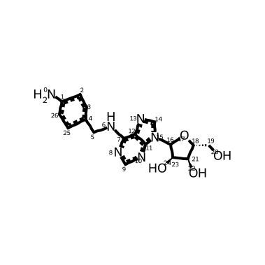 Nc1ccc(CNc2ncnc3c2ncn3C2O[C@H](CO)[C@@H](O)[C@H]2O)cc1